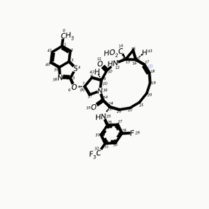 CC1=CC2SC(O[C@@H]3C[C@H]4C(=O)N[C@]5(C(=O)O)C[C@H]5/C=C\CCCCC[C@H](Nc5cc(F)cc(C(F)(F)F)c5)C(=O)N4C3)=NC2C=C1